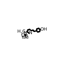 CN(C(=O)OC(C)(C)C)c1ccc(/C=C/c2ccc(O)cc2)nc1